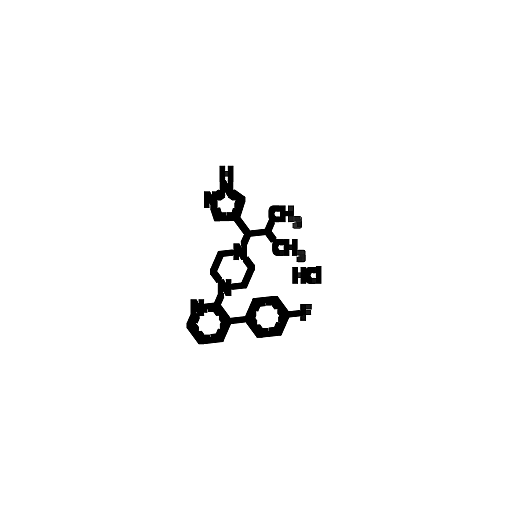 CC(C)C(c1cn[nH]c1)N1CCN(c2ncccc2-c2ccc(F)cc2)CC1.Cl